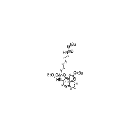 CCOC(=O)[C@@H](CCCCCCCNC(=O)OC(C)(C)C)NC1CSc2ccccc2N(CC(=O)OC(C)(C)C)C1=O